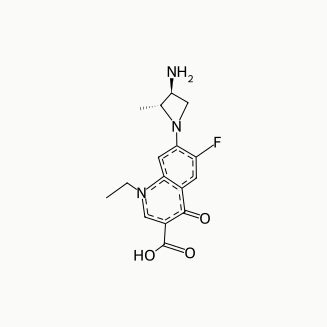 CCn1cc(C(=O)O)c(=O)c2cc(F)c(N3C[C@H](N)[C@H]3C)cc21